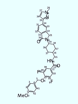 COc1ccc(COc2c(F)cc(C(=O)NCC3CCC(N4Cc5cc(-c6ccn(C)n6)ccc5C4=O)CC3)cc2F)cc1